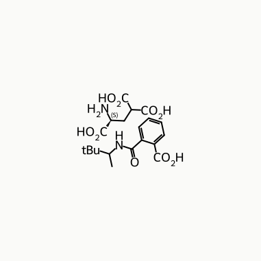 CC(NC(=O)c1ccccc1C(=O)O)C(C)(C)C.N[C@@H](CC(C(=O)O)C(=O)O)C(=O)O